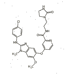 COc1cc2c(cc1Oc1ccnc(C(=O)NCCN3CCNC3=O)c1)nc(Nc1ccc(Cl)cc1)n2C